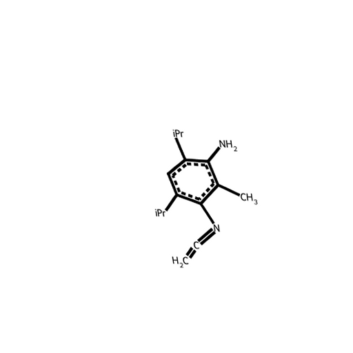 C=C=Nc1c(C(C)C)cc(C(C)C)c(N)c1C